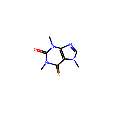 Cn1c(=S)c2c(ncn2C)n(C)c1=O